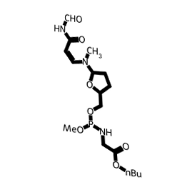 CCCCOC(=O)CNP(OC)OCC1CCC(N(C)/C=C\C(=O)NC=O)O1